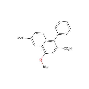 CCCCOc1cc(C(=O)O)c(-c2ccccc2)c2ccc(OC)cc12